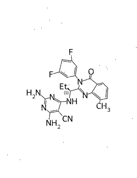 CC[C@H](Nc1nc(N)nc(N)c1C#N)c1nc2c(C)cccc2c(=O)n1-c1cc(F)cc(F)c1